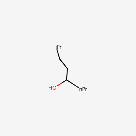 CCCC(O)CCC(C)C